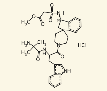 COC(=O)CS(=O)(=O)N[C@@H]1CC2(CCN(C(=O)C(Cc3c[nH]c4ccccc34)NC(=O)C(C)(C)N)CC2)c2ccccc21.Cl